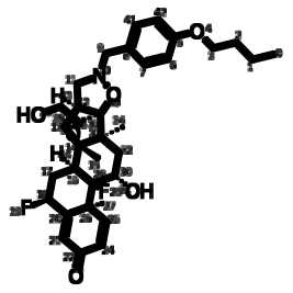 CCCCOc1ccc(CN2C[C@@H]3C[C@@]4(C)[C@@H]5C[C@H](F)C6=CC(=O)C=C[C@]6(C)[C@@]5(F)[C@@H](O)C[C@]4(C)[C@]3(C(=O)CO)O2)cc1